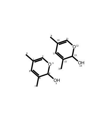 CC1=COC(O)C(C)=C1.CC1=COC(O)C(C)=C1